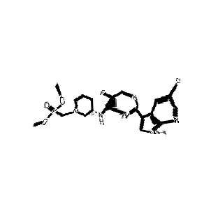 COP(=O)(CN1CCC[C@H](Nc2nc(-c3c[nH]c4ncc(Cl)cc34)ncc2F)C1)OC